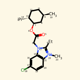 CCc1n(CC(=O)O[C@@H]2C[C@H](C)CC[C@H]2C(C)C)c2cc(Cl)ccc2[n+]1C